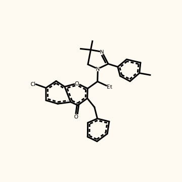 CCC(c1oc2cc(Cl)ccc2c(=O)c1Cc1ccccc1)N1CC(C)(C)N=C1c1ccc(C)cc1